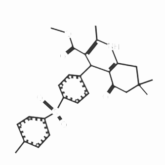 COC(=O)C1=C(C)NC2=C(C(=O)CC(C)(C)C2)C1c1ccc(S(=O)(=O)c2ccc(C)cc2)cc1